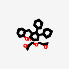 C(OCC1CO1)C1CO1.Oc1ccccc1Cc1cccc(-c2ccccc2)c1-c1ccccc1